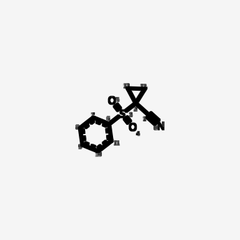 N#CC1(S(=O)(=O)c2ccccc2)CC1